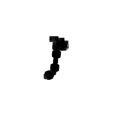 CC(C(NC(=O)c1ccc(C#Cc2ccc(CN3CCOCC3)cc2)cc1)C(=O)NO)C(F)(F)F